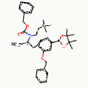 CC1(C)OB(c2ccc(C[C@@H](C(=O)O)N(CC[Si](C)(C)C)C(=O)OCc3ccccc3)c(OCc3ccccc3)c2)OC1(C)C